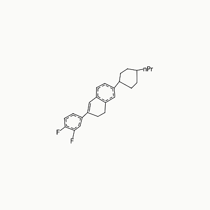 CCCC1CCC(c2ccc3c(c2)CCC(c2ccc(F)c(F)c2)=C3)CC1